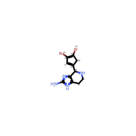 Nc1nc2c([nH]1)CCNC2C1=CC(Br)=C(Br)C1